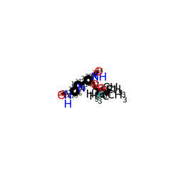 CC(C)(C)[Si](C)(C)OC(CF)COc1cc(-c2ccc3cc(NC=O)ccc3n2)ccc1NC=O